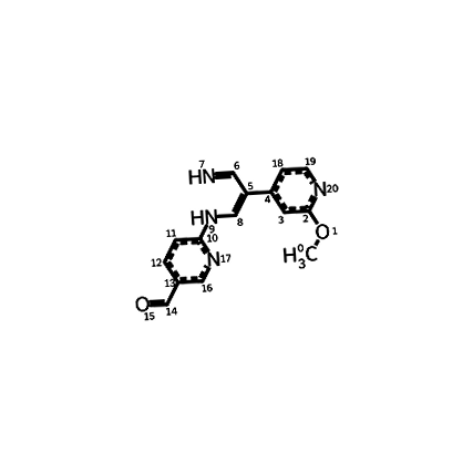 COc1cc(/C(C=N)=C/Nc2ccc(C=O)cn2)ccn1